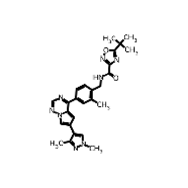 Cc1cc(-c2ncnn3cc(-c4cn(C)nc4C)cc23)ccc1CNC(=O)c1noc(C(C)(C)C)n1